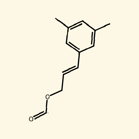 Cc1cc(C)cc(C=CCO[C]=O)c1